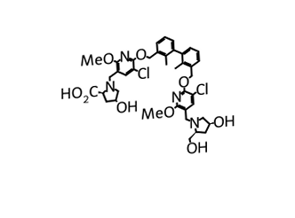 COc1nc(OCc2cccc(-c3cccc(COc4nc(OC)c(CN5C[C@@H](O)C[C@H]5C(=O)O)cc4Cl)c3C)c2C)c(Cl)cc1CN1C[C@@H](O)C[C@H]1CO